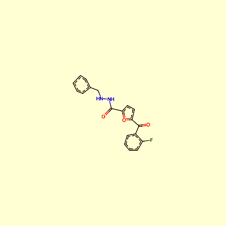 O=C(NNCc1ccccc1)c1ccc(C(=O)c2ccccc2F)o1